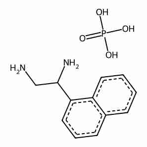 NCC(N)c1cccc2ccccc12.O=P(O)(O)O